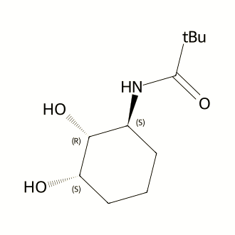 CC(C)(C)C(=O)N[C@H]1CCC[C@H](O)[C@@H]1O